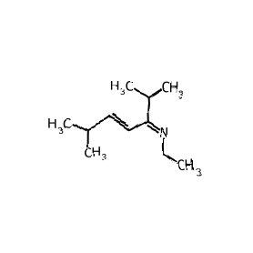 CCN=C(C=CC(C)C)C(C)C